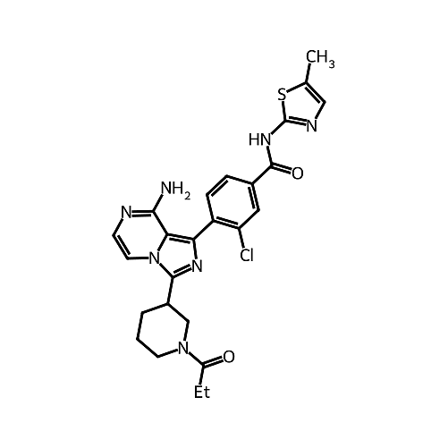 CCC(=O)N1CCCC(c2nc(-c3ccc(C(=O)Nc4ncc(C)s4)cc3Cl)c3c(N)nccn23)C1